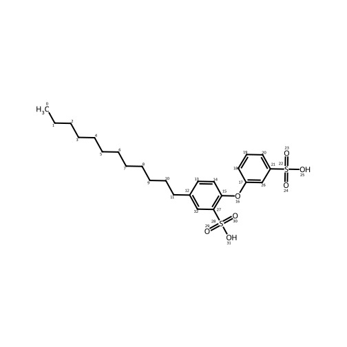 CCCCCCCCCCCCc1ccc(Oc2cccc(S(=O)(=O)O)c2)c(S(=O)(=O)O)c1